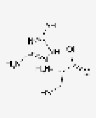 N[C@@H](CS)C(=O)O.Nc1n[nH]c(S)n1